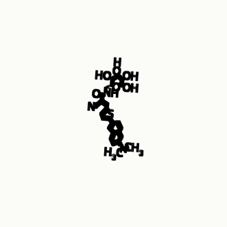 CN(C)c1ccc2cc(-c3ccc(/C=C(\C#N)C(=O)NC[C@H]4OC(O)[C@H](O)[C@@H](O)[C@@H]4O)s3)ccc2c1